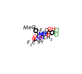 COc1ccc([C@H](NC(=O)[C@H](C)NC(=O)C(O)(c2ccc(Cl)c(Cl)c2)C(F)(F)F)C(=O)N[C@H](C(=O)C(F)(F)F)C(C)C)cc1